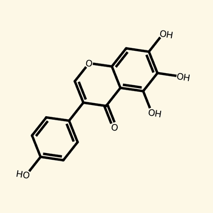 O=c1c(-c2ccc(O)cc2)coc2cc(O)c(O)c(O)c12